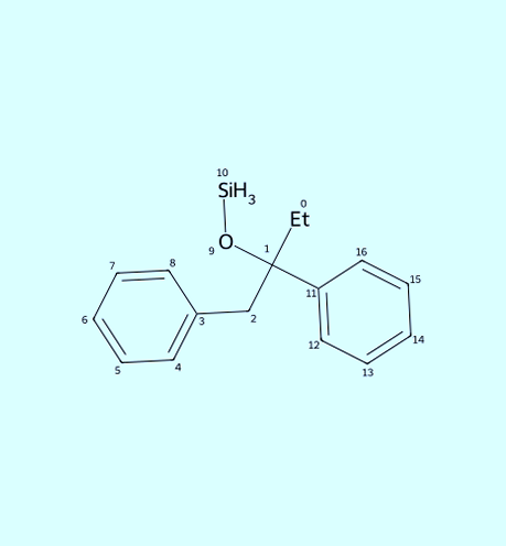 CCC(Cc1ccccc1)(O[SiH3])c1ccccc1